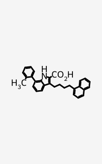 Cc1ccccc1-c1cccc2c(CCCCc3cccc4ccccc34)c(C(=O)O)[nH]c12